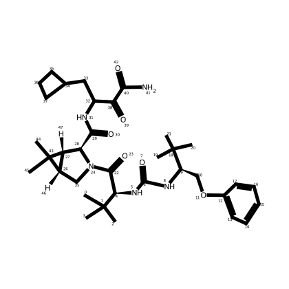 CC(C)(C)[C@H](NC(=O)N[C@H](COc1ccccc1)C(C)(C)C)C(=O)N1C[C@H]2[C@@H]([C@H]1C(=O)NC(CC1CCC1)C(=O)C(N)=O)C2(C)C